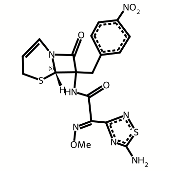 CON=C(C(=O)NC1(Cc2ccc([N+](=O)[O-])cc2)C(=O)N2C=CCS[C@H]21)c1nsc(N)n1